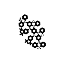 CC1(C)CC(C)(C)c2cc(N3c4cc5c(cc4B4c6ccccc6Oc6cc(N7c8ccccc8[Si](C)(C)c8ccccc87)cc3c64)B3c4ccccc4Oc4cc(N6c7ccccc7[Si](C)(C)c7ccccc76)cc(c43)N5c3ccc4c(c3)C(C)(C)CC4(C)C)ccc21